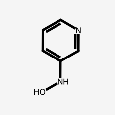 ONc1cccnc1